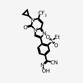 CCS(=O)(=O)c1cc(/C(C#N)=N/O)ccc1-c1cn2c(=O)n(C3CC3)c(C(F)(F)F)cc2n1